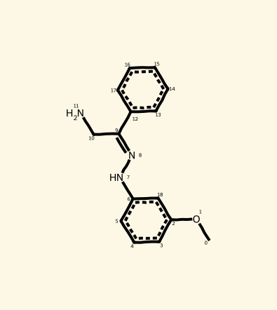 COc1cccc(NN=C(CN)c2ccccc2)c1